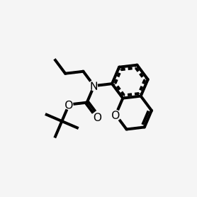 CCCN(C(=O)OC(C)(C)C)c1cccc2c1OCC=C2